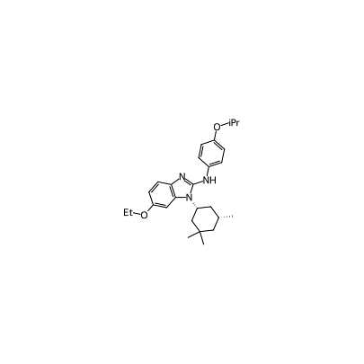 CCOc1ccc2nc(Nc3ccc(OC(C)C)cc3)n([C@@H]3C[C@H](C)CC(C)(C)C3)c2c1